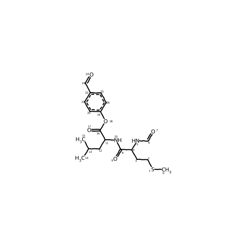 CSCCC(NC=O)C(=O)NC(CC(C)C)C(=O)Oc1ccc(C=O)cc1